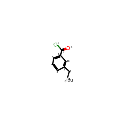 CCC(C)Cc1cccc(C(=O)Cl)c1